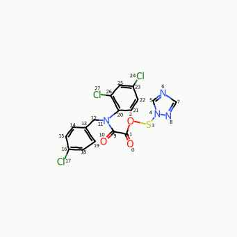 O=C(OSn1cncn1)C(=O)N(Cc1ccc(Cl)cc1)c1ccc(Cl)cc1Cl